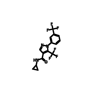 O=C(NC1CC1)c1cnn(-c2cccc(C(F)(F)F)c2)c1C(F)(F)F